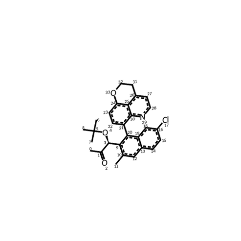 CC(=O)[C@@H](OC(C)(C)C)c1c(C)cc2ccc(Cl)cc2c1-c1ccc2c3c(ccnc13)CCO2